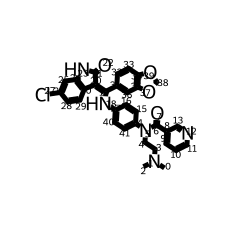 CN(C)CCN(C(=O)c1cccnc1)c1ccc(NC(=C2C(=O)Nc3cc(Cl)ccc32)c2ccc3c(c2)OCO3)cc1